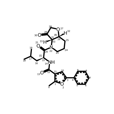 Cc1oc(-c2ccccc2)cc1C(=O)N[C@@H](CC(C)C)C(=O)N1CCC[C@H]2OCC(=O)[C@H]21